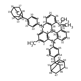 Cc1cc2c3c(c1)N(c1ccc(C45CC6CC(CC4C6)C5)cc1)c1cccc4c1B3c1c(cccc1[Si]4(C)C)N2c1ccc(C23CC4CC(CC(C4)C2)C3)cc1